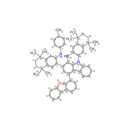 Cc1ccc(Nc2cc3c(cc2-c2cc(-c4cccc5c4oc4ccccc45)c4c5ccccc5n5c4c2Bc2cc4c(cc2-5)C(C)(C)CCC4(C)C)C(C)(C)CCC3(C)C)cc1